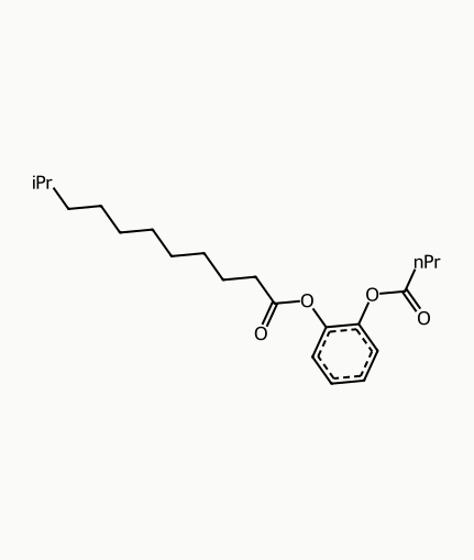 CCCC(=O)Oc1ccccc1OC(=O)CCCCCCCCC(C)C